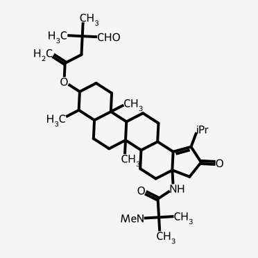 C=C(CC(C)(C)C=O)OC1CCC2(C)C(CCC3(C)C4CCC5(NC(=O)C(C)(C)NC)CC(=O)C(C(C)C)=C5C4CCC32)C1C